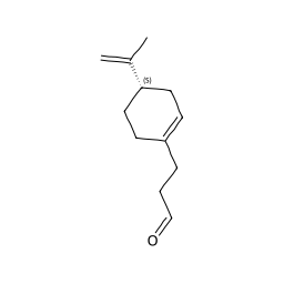 C=C(C)[C@@H]1CC=C(CCC=O)CC1